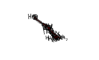 NCN[C@@H](CCCCNC(=O)COCCOCCNC(=O)COCCONC(=O)CCCCCCCCCCCCCCCCC(=O)O)C(=O)CN[C@@H](CO)C(N)=O